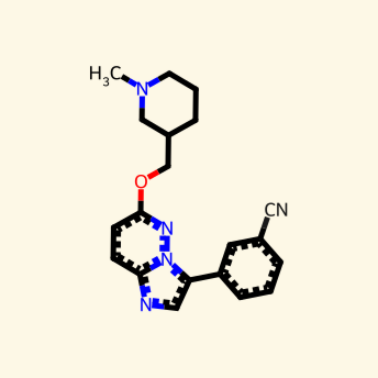 CN1CCCC(COc2ccc3ncc(-c4cccc(C#N)c4)n3n2)C1